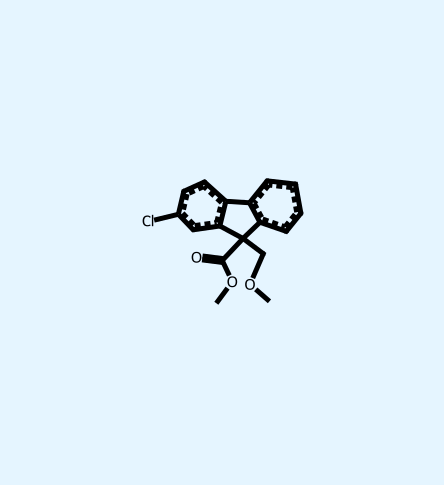 COCC1(C(=O)OC)c2ccccc2-c2ccc(Cl)cc21